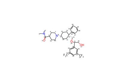 CN(C)C(=O)C1CCN([C@H]2CC[C@](COC(CO)c3cc(C(F)(F)F)cc(C(F)(F)F)c3)(c3ccccc3)CC2)CC1